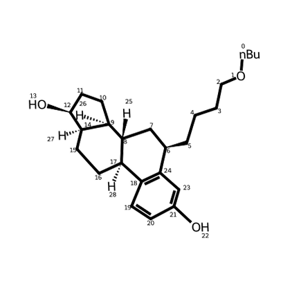 CCCCOCCCC[C@@H]1C[C@H]2[C@@H]3CC[C@H](O)[C@@H]3CC[C@@H]2c2ccc(O)cc21